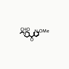 COc1ccc(C(=O)C2CCN(C(C)C=O)CC2)cn1